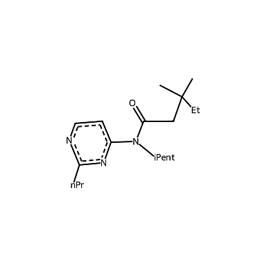 CCCc1nccc(N(C(=O)CC(C)(C)CC)C(C)CCC)n1